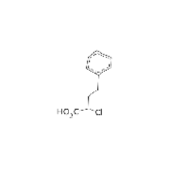 O=C(O)C(Cl)CCc1ccccc1